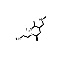 C=C(CC(CNC)C(C)N)SCCN